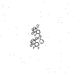 FC1(F)C=CC=CC1.O=[N+]([O-])c1ccc(F)c(F)c1[N+](=O)[O-].O=[N+]([O-])c1ccc(F)c(F)c1[N+](=O)[O-]